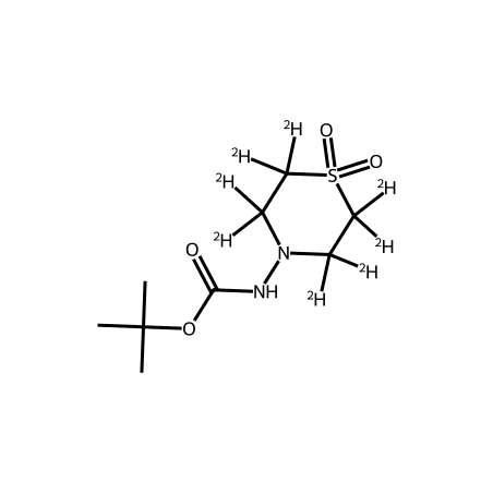 [2H]C1([2H])N(NC(=O)OC(C)(C)C)C([2H])([2H])C([2H])([2H])S(=O)(=O)C1([2H])[2H]